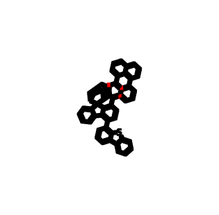 c1ccc(-c2cccc3cccc(-c4ccc(-c5ccc(-c6cccc7c6sc6ccccc67)c6c5C5(c7ccccc7-6)C6CC7CC(C6)CC5C7)cc4)c23)cc1